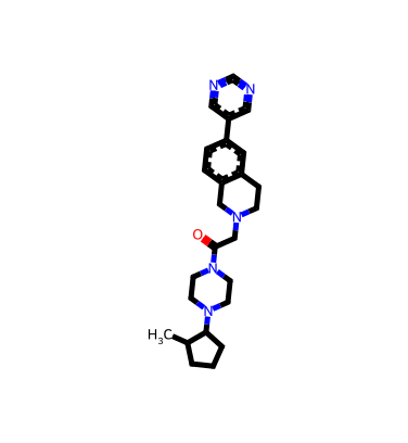 CC1CCCC1N1CCN(C(=O)CN2CCc3cc(-c4cncnc4)ccc3C2)CC1